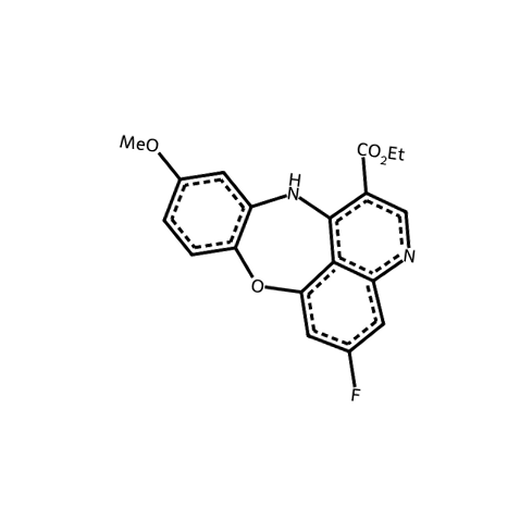 CCOC(=O)c1cnc2cc(F)cc3c2c1Nc1cc(OC)ccc1O3